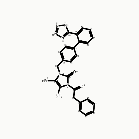 CCCc1c(C(F)(F)F)n(C(=O)Cc2ccccc2)c(=O)n1Cc1ccc(-c2ccccc2-c2nnn[nH]2)cc1